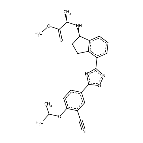 COC(=O)[C@@H](C)N[C@@H]1CCc2c(-c3noc(-c4ccc(OC(C)C)c(C#N)c4)n3)cccc21